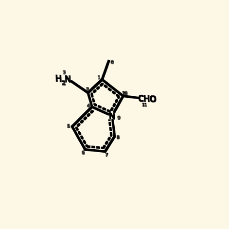 Cc1c(N)c2ccccn2c1C=O